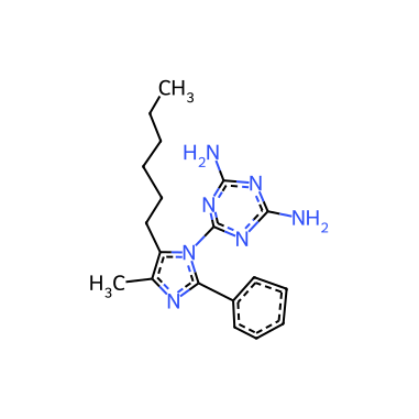 CCCCCCc1c(C)nc(-c2ccccc2)n1-c1nc(N)nc(N)n1